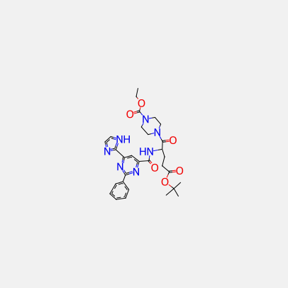 CCOC(=O)N1CCN(C(=O)C(CCC(=O)OC(C)(C)C)NC(=O)c2cc(-c3ncc[nH]3)nc(-c3ccccc3)n2)CC1